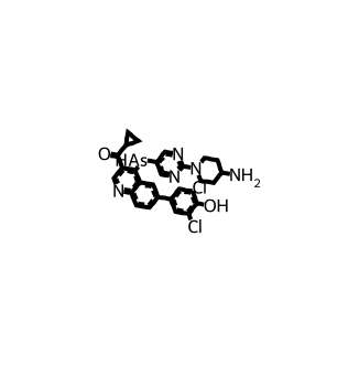 NC1CCN(c2ncc([AsH]c3c(C(=O)C4CC4)cnc4ccc(-c5cc(Cl)c(O)c(Cl)c5)cc34)cn2)CC1